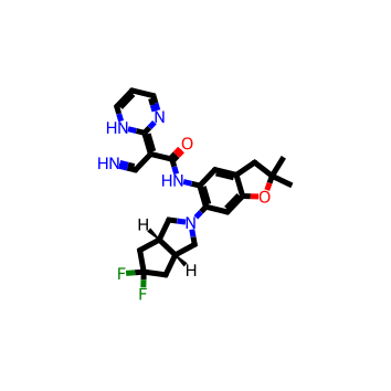 CC1(C)Cc2cc(NC(=O)/C(C=N)=C3\N=CC=CN3)c(N3C[C@@H]4CC(F)(F)C[C@@H]4C3)cc2O1